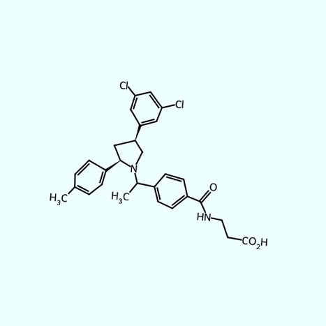 Cc1ccc([C@H]2C[C@@H](c3cc(Cl)cc(Cl)c3)CN2C(C)c2ccc(C(=O)NCCC(=O)O)cc2)cc1